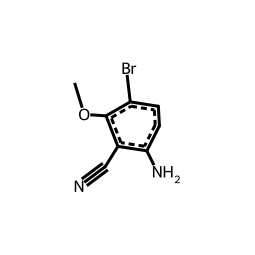 COc1c(Br)ccc(N)c1C#N